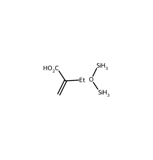 C=C(CC)C(=O)O.[SiH3]O[SiH3]